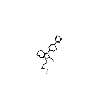 CCC(C)CCN1C2=C(CCC=C2)N(C2=CCC(c3ccccc3)C=C2)C1CC